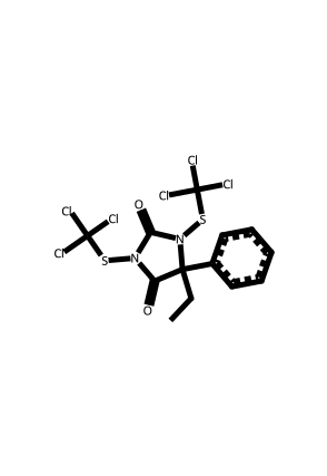 CCC1(c2ccccc2)C(=O)N(SC(Cl)(Cl)Cl)C(=O)N1SC(Cl)(Cl)Cl